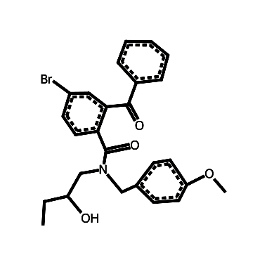 CCC(O)CN(Cc1ccc(OC)cc1)C(=O)c1ccc(Br)cc1C(=O)c1ccccc1